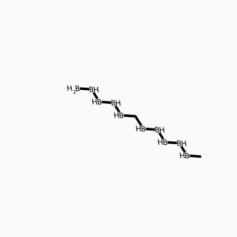 BBBBBCBBBBBC